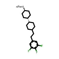 CCCCC[C@H]1CC[C@H](C2CCC(CCc3cc(F)c(F)c(F)c3)CC2)CC1